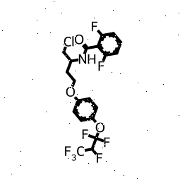 O=C(NC(CCl)CCOc1ccc(OC(F)(F)C(F)C(F)(F)F)cc1)c1c(F)cccc1F